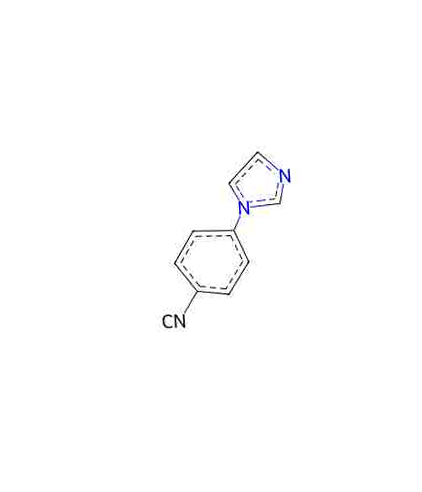 [C-]#[N+]c1ccc(-n2ccnc2)cc1